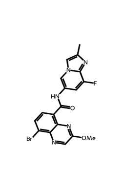 COc1cnc2c(Br)ccc(C(=O)Nc3cc(F)c4nc(C)cn4c3)c2n1